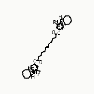 C[C@@]12CCCCC[C@@H](Cc3c(F)cc(OC(=O)CCCCCCCCCCC(=O)Oc4cc(F)c5c(c4)[C@@]4(C)CCCCC[C@@H](C5)[C@@H]4N)cc31)[C@@H]2N